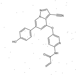 C=CC(=O)Nc1ccc(Oc2cc(-c3ccc(O)cc3)cn3ncc(C#N)c23)cn1